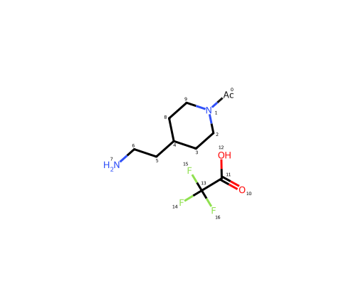 CC(=O)N1CCC(CCN)CC1.O=C(O)C(F)(F)F